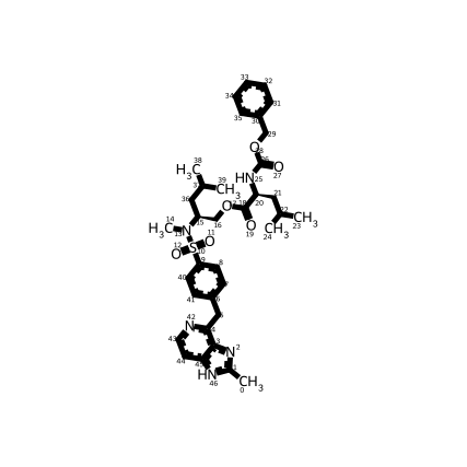 Cc1nc2c(Cc3ccc(S(=O)(=O)N(C)[C@H](COC(=O)[C@H](CC(C)C)NC(=O)OCc4ccccc4)CC(C)C)cc3)nccc2[nH]1